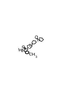 Cc1ccc2[nH]c(=O)n(C3CCN([C@H]4CC[C@@H](C(=O)N5CCCCC5)CC4)CC3)c2c1